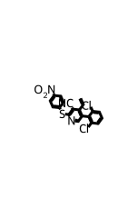 C=Cc1c(-c2c(Cl)cccc2Cl)cnc(Sc2ccc([N+](=O)[O-])cc2)c1C#N